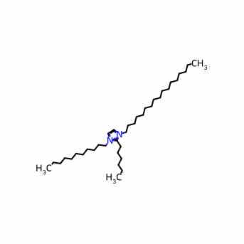 CCCCCCCCCCCCCCCCCn1cc[n+](CCCCCCCCCCC)c1CCCCCC